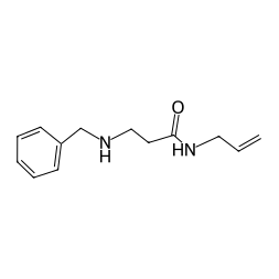 C=CCNC(=O)CCNCc1ccccc1